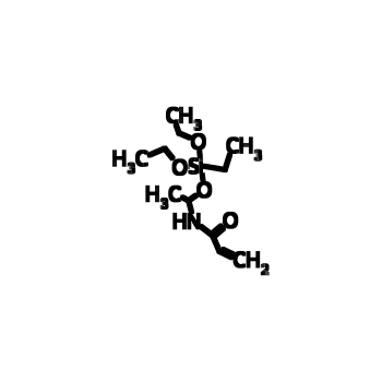 C=CC(=O)NC(C)O[Si](CC)(OCC)OCC